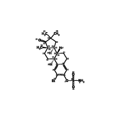 CCc1cc2c(cc1OS(N)(=O)=O)CC[C@@H]1[C@@H]2CC[C@]2(C)C(=O)C(C)(C)C[C@@H]12